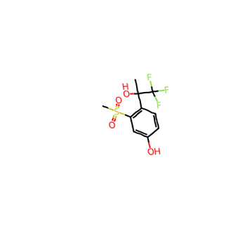 CC(O)(c1ccc(O)cc1S(C)(=O)=O)C(F)(F)F